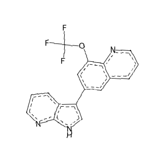 FC(F)(F)Oc1cc(-c2c[nH]c3ncccc23)cc2cccnc12